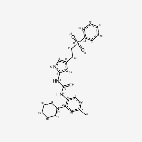 Cc1ccc(NC(=O)Nc2ncc(CCS(=O)(=O)c3ccccn3)s2)c(N2CCCCC2)c1